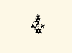 Cc1cc(F)c(/N=C(\NCCc2ncc(C(F)(F)F)cc2Cl)C2CC2)cc1SCC(F)(F)F